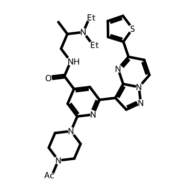 CCN(CC)C(C)CNC(=O)c1cc(-c2cnn3ccc(-c4cccs4)nc23)nc(N2CCN(C(C)=O)CC2)c1